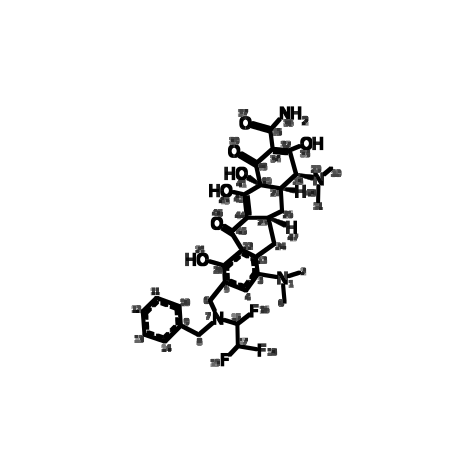 CN(C)c1cc(CN(Cc2ccccc2)C(F)C(F)F)c(O)c2c1C[C@H]1C[C@H]3[C@H](N(C)C)C(O)=C(C(N)=O)C(=O)[C@@]3(O)C(O)=C1C2=O